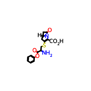 NC(CSC1=C(C(=O)O)N2C(=O)C[C@@H]2C1)C(=O)Oc1ccccc1